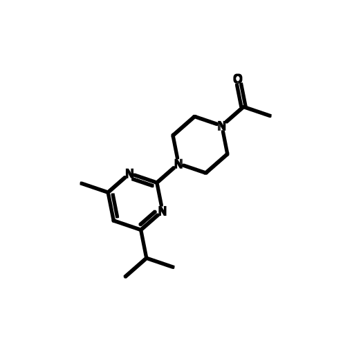 CC(=O)N1CCN(c2nc(C)cc(C(C)C)n2)CC1